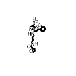 Bc1cnn2c(NCCCCNC(=O)c3ccco3)cc(-c3ccccc3Cl)nc12